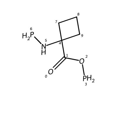 O=C(OP)C1(NP)CCC1